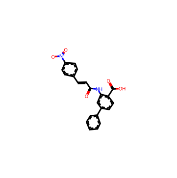 O=C(/C=C/c1ccc([N+](=O)[O-])cc1)Nc1cc(-c2ccccc2)ccc1C(=O)O